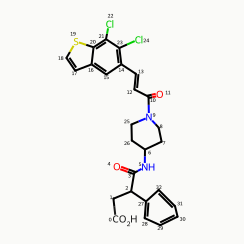 O=C(O)CC(C(=O)NC1CCN(C(=O)C=Cc2cc3ccsc3c(Cl)c2Cl)CC1)c1ccccc1